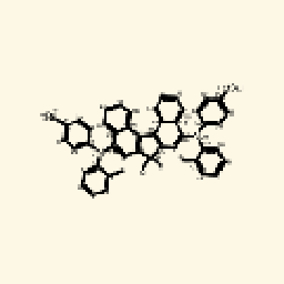 Cc1ccccc1N(c1ccc(C(C)(C)C)cc1)c1cc2c(c3ccccc13)-c1c(cc(N(c3ccc(C(C)(C)C)cc3)c3ccccc3C)c3ccccc13)C2(C)C